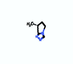 C[C@@H]1CCn2cnnc21